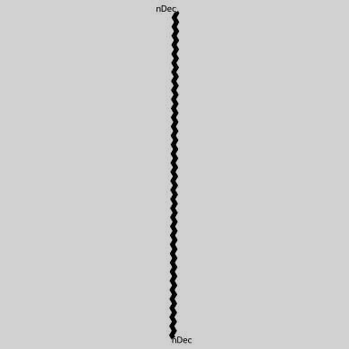 CCCCCCCCCCCCCCCCCCCCCCCCCCCCCCCCCCCCCCCCCCCCCCCCCCCCCCCCCCCCCCCCCCCCCCCCCCCCCCCCCCCCCCCCCCCC